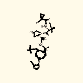 Cc1ncsc1-c1ccc([C@H](C)NC(=O)[C@@H]2C[C@@H](O)CN2C(=O)[C@@H](NC(=O)C2(F)CC2)C(C)(C)C)c(CC(C)(C)C)c1